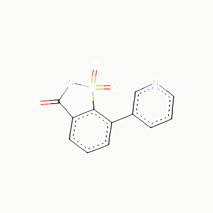 O=C1NS(=O)(=O)c2c1cccc2-c1cccnc1